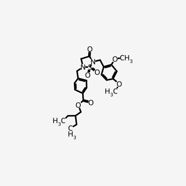 CCC(CC)COC(=O)c1ccc(CN2CC(=O)N(Cc3ccc(OC)cc3OC)S2(=O)=O)cc1